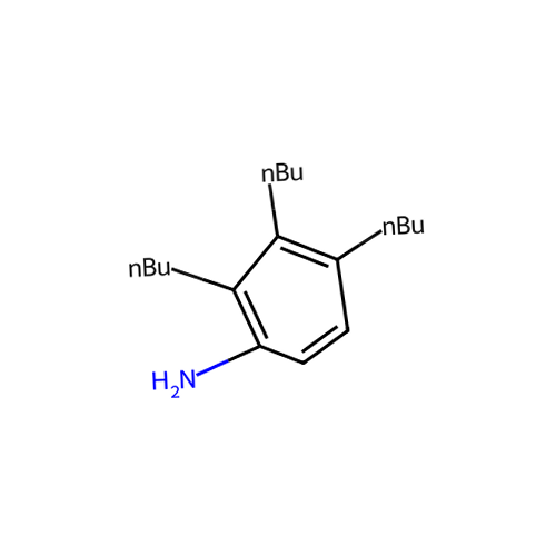 CCCCc1ccc(N)c(CCCC)c1CCCC